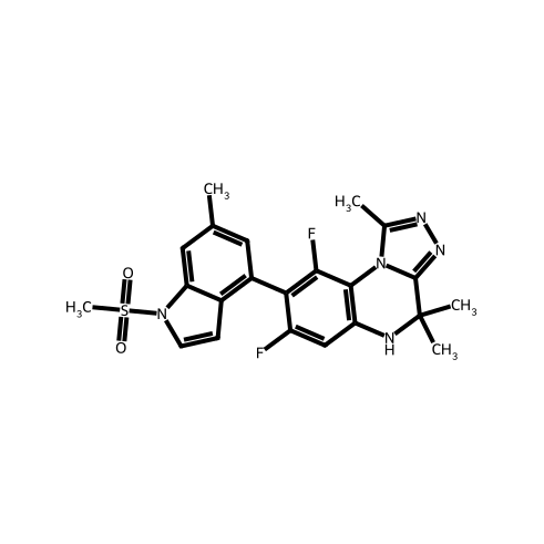 Cc1cc(-c2c(F)cc3c(c2F)-n2c(C)nnc2C(C)(C)N3)c2ccn(S(C)(=O)=O)c2c1